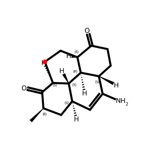 C[C@@H]1C[C@@H]2C=C(N)[C@H]3CCC(=O)[C@H]4CC[C@H](C1=O)[C@@H]2[C@@H]43